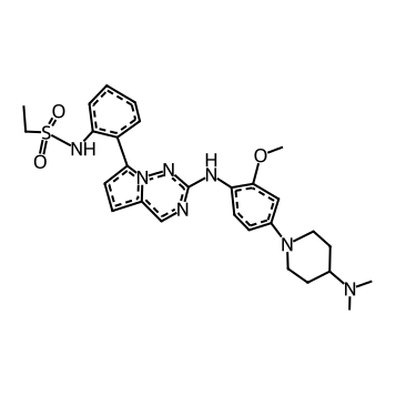 CCS(=O)(=O)Nc1ccccc1-c1ccc2cnc(Nc3ccc(N4CCC(N(C)C)CC4)cc3OC)nn12